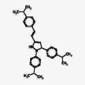 CC(C)c1ccc(C=CC2=CC(c3ccc(C(C)C)cc3)N(c3ccc(C(C)C)cc3)N2)cc1